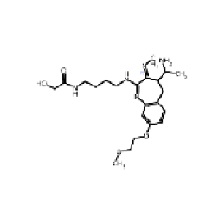 C/N=C1/C(NCCCCNC(=O)CO)=Nc2cc(OCCOC)ccc2CC1C(C)N